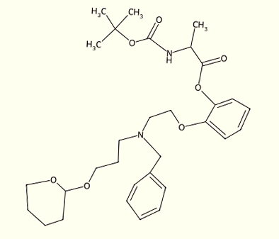 CC(NC(=O)OC(C)(C)C)C(=O)Oc1ccccc1OCCN(CCCOC1CCCCO1)Cc1ccccc1